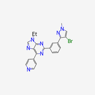 CCn1cnc2c(-c3ccncc3)nc(-c3cccc(-c4nn(C)cc4Br)c3)nc21